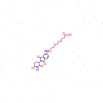 O=C(O)CCOCCOCCONc1ccc2c(c1)C(=O)N(C1CCC(=O)NC1=O)C2=O